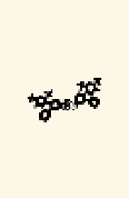 Cc1cc(-c2ccc(OPOc3ccc(-c4cc(C)c(C(C)(C)C)cc4C(C)(C)C)c(-c4ccccc4)c3)cc2-c2ccccc2)c(C(C)(C)C)cc1C(C)(C)C